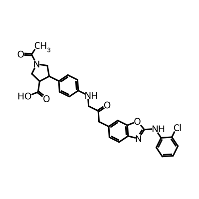 CC(=O)N1CC(C(=O)O)C(c2ccc(NCC(=O)Cc3ccc4nc(Nc5ccccc5Cl)oc4c3)cc2)C1